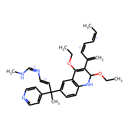 C=C(/C=C\C=C/C)C1=C(OCC)c2cc(C(C)(/C=C/N=C\NC)c3ccncc3)ccc2NC1OCC